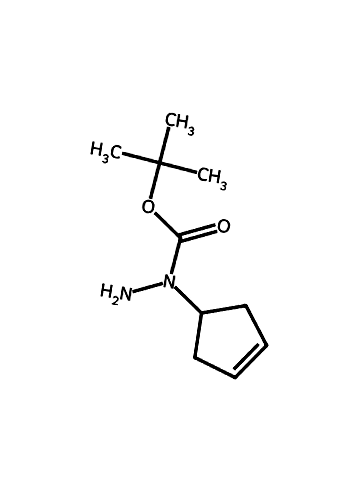 CC(C)(C)OC(=O)N(N)C1CC=CC1